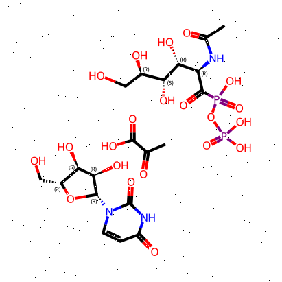 CC(=O)C(=O)O.CC(=O)N[C@@H](C(=O)P(=O)(O)OP(=O)(O)O)[C@@H](O)[C@H](O)[C@H](O)CO.O=c1ccn([C@@H]2O[C@H](CO)[C@@H](O)[C@H]2O)c(=O)[nH]1